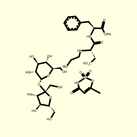 CC1=CC(=O)NS(=O)(=O)O1.COC(=O)[C@H](Cc1ccccc1)NC(=O)[C@H](CC(=O)O)NCCC(C)(C)C.OC[C@H]1O[C@@](CO)(O[C@H]2O[C@H](CO)[C@@H](O)[C@H](O)[C@H]2O)[C@@H](O)[C@@H]1O